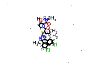 CC(C)C1=C(C(=O)N2CC[C@H](O)[C@H]2C(=O)N(C)C)SC2=NC(C)(c3ccc(Cl)cc3)C(c3ccc(Cl)cc3)N21